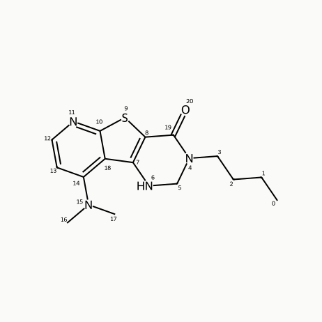 CCCCN1CNc2c(sc3nccc(N(C)C)c23)C1=O